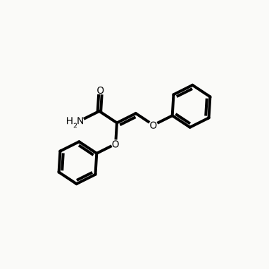 NC(=O)C(=COc1ccccc1)Oc1ccccc1